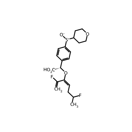 C=C(F)/C(=C\CC(C)F)O[C@H](C(=O)O)c1ccc([S+]([O-])C2CCOCC2)cc1